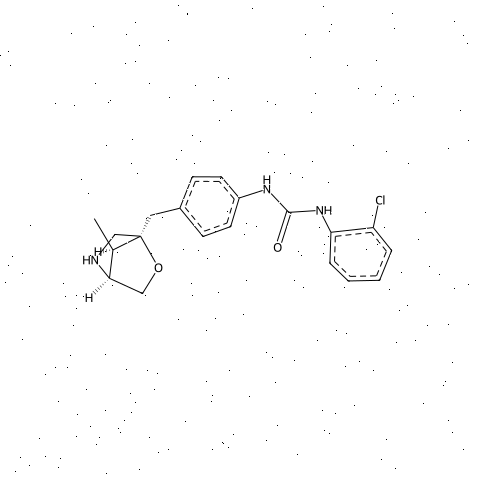 C[C@@H]1[C@H]2CO[C@]1(Cc1ccc(NC(=O)Nc3ccccc3Cl)cc1)CN2